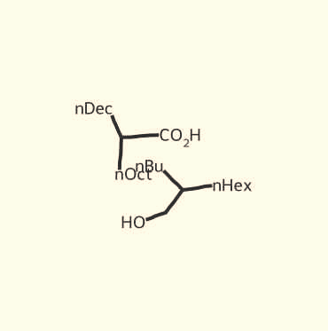 CCCCCCC(CO)CCCC.CCCCCCCCCCC(CCCCCCCC)C(=O)O